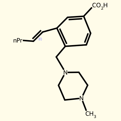 CCC/C=C/c1cc(C(=O)O)ccc1CN1CCN(C)CC1